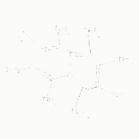 Nc1c(N)c(N)c2c(N)c(N)c(N)c(N)c2c1N